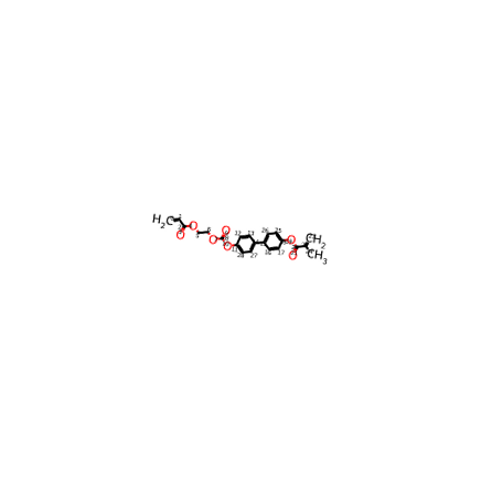 C=CC(=O)OCCOC(=O)Oc1ccc(-c2ccc(OC(=O)C(=C)C)cc2)cc1